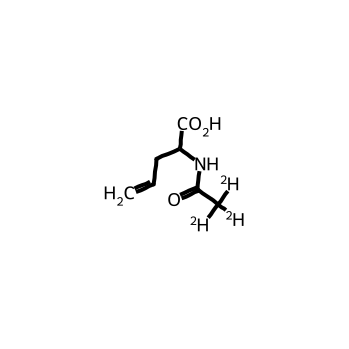 [2H]C([2H])([2H])C(=O)NC(CC=C)C(=O)O